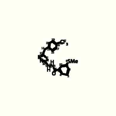 CSc1cccc(C(=O)NNc2nnc(Cc3ccc(C(F)(F)F)cc3)s2)c1